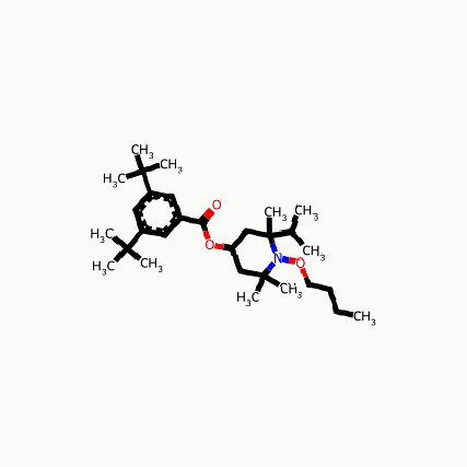 CCCCON1C(C)(C)CC(OC(=O)c2cc(C(C)(C)C)cc(C(C)(C)C)c2)CC1(C)C(C)C